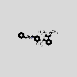 CO/C=C(\C(=O)OC)c1ccccc1COc1ccc(/C=N/OCc2ccccc2)cc1C